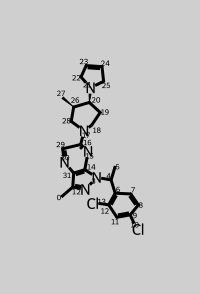 Cc1nn(C(C)c2ccc(Cl)cc2Cl)c2nc(N3CC[C@H](N4CC=CC4)[C@H](C)C3)cnc12